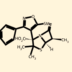 CSc1onc(-c2ccccc2)c1[C@@]1(C(=O)O)N2C(=S)[C@@H](C)[C@H]2SC1(C)C